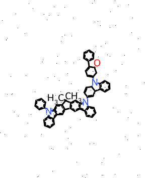 CC1(C)c2cc3c(cc2-c2cc4c5ccccc5n(-c5ccccc5)c4cc21)c1ccccc1n3C1=CC2c3ccccc3N(C3=CC=C4c5ccccc5OC4C3)C2C=C1